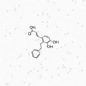 O=C(O)C=Cc1ccc(O)c(O)c1CCc1ccccc1